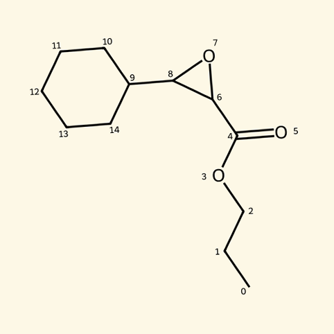 CCCOC(=O)C1OC1C1CCCCC1